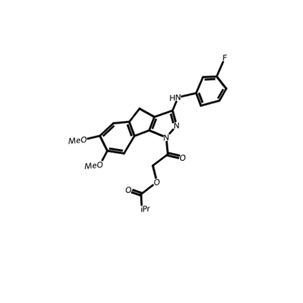 COc1cc2c(cc1OC)-c1c(c(Nc3cccc(F)c3)nn1C(=O)COC(=O)C(C)C)C2